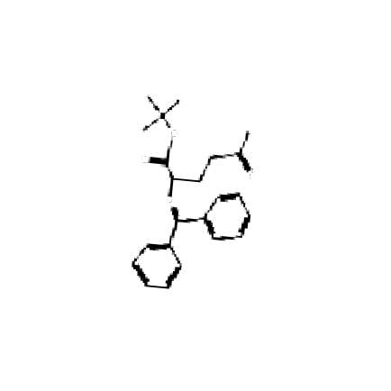 CC(=O)CCC(N=C(c1ccccc1)c1ccccc1)C(=O)OC(C)(C)C